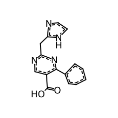 O=C(O)c1cnc(Cc2ncc[nH]2)nc1-c1ccccc1